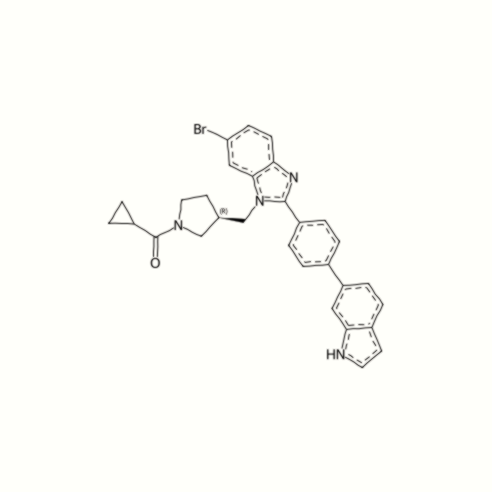 O=C(C1CC1)N1CC[C@@H](Cn2c(-c3ccc(-c4ccc5cc[nH]c5c4)cc3)nc3ccc(Br)cc32)C1